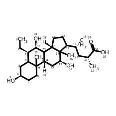 CC[C@@H]1C2C[C@H](O)CCC2(C)[C@H]2C[C@H](O)C3(C)C([C@H](C)C[C@@H](C)C(=O)O)CC[C@H]3C2[C@@H]1O